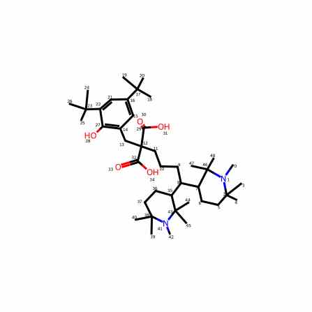 CN1C(C)(C)CCC(C(CCCC(Cc2cc(C(C)(C)C)cc(C(C)(C)C)c2O)(C(=O)O)C(=O)O)C2CCC(C)(C)N(C)C2(C)C)C1(C)C